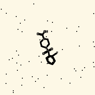 O=C(O)N1CCN(S(=O)(=O)c2ccccc2F)CC1